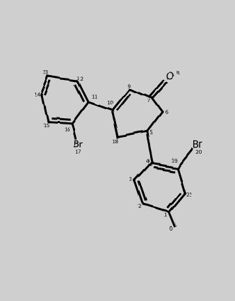 Cc1ccc(C2CC(=O)C=C(c3ccccc3Br)C2)c(Br)c1